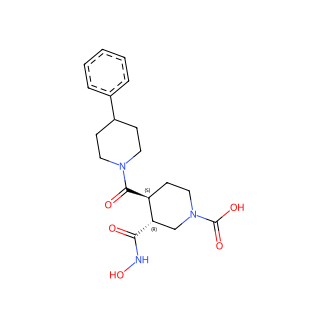 O=C(NO)[C@H]1CN(C(=O)O)CC[C@@H]1C(=O)N1CCC(c2ccccc2)CC1